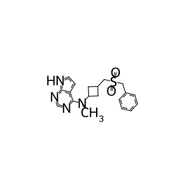 CN(c1ncnc2[nH]ccc12)C1CC(CS(=O)(=O)Cc2ccccc2)C1